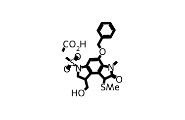 CC(=O)O.CSC1C(=O)N(C)c2c(OCc3ccccc3)cc3c(c21)C(CO)CN3S(C)(=O)=O